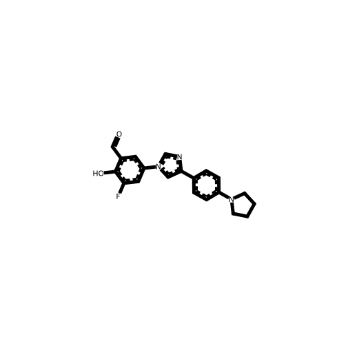 O=Cc1cc(-n2cnc(-c3ccc(N4CCCC4)cc3)c2)cc(F)c1O